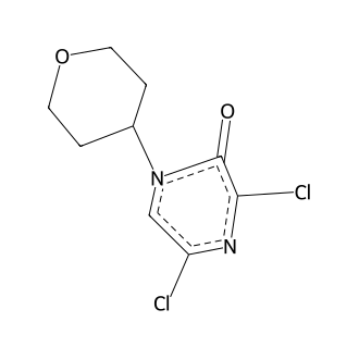 O=c1c(Cl)nc(Cl)cn1C1CCOCC1